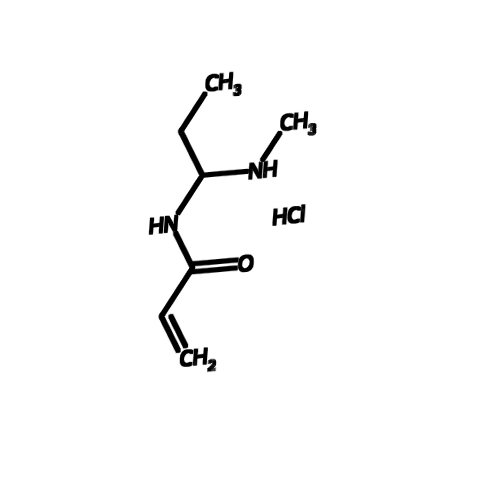 C=CC(=O)NC(CC)NC.Cl